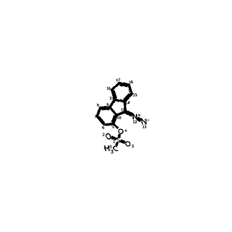 CS(=O)(=O)Oc1cccc2c1C(=[N+]=[N-])c1ccccc1-2